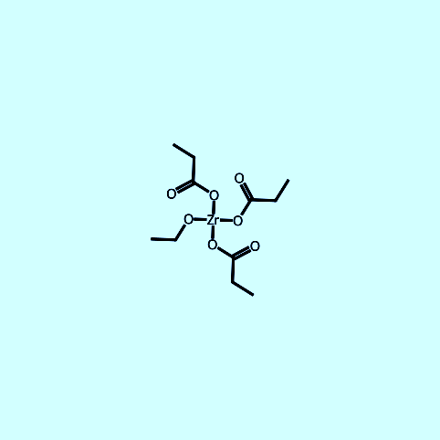 CC[O][Zr]([O]C(=O)CC)([O]C(=O)CC)[O]C(=O)CC